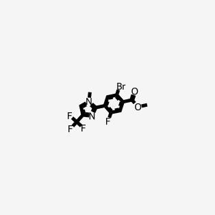 COC(=O)c1cc(F)c(-c2nc(C(F)(F)F)cn2C)cc1Br